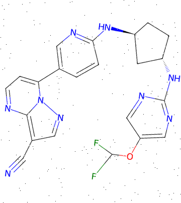 N#Cc1cnn2c(-c3ccc(N[C@H]4CC[C@H](Nc5ncc(OC(F)F)cn5)C4)nc3)ccnc12